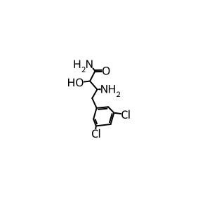 NC(=O)C(O)[C@@H](N)Cc1cc(Cl)cc(Cl)c1